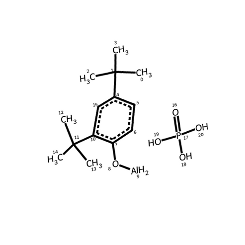 CC(C)(C)c1ccc([O][AlH2])c(C(C)(C)C)c1.O=P(O)(O)O